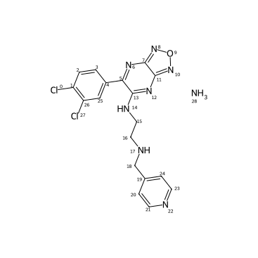 Clc1ccc(-c2nc3nonc3nc2NCCNCc2ccncc2)cc1Cl.N